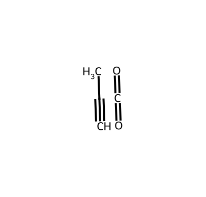 C#CC.O=C=O